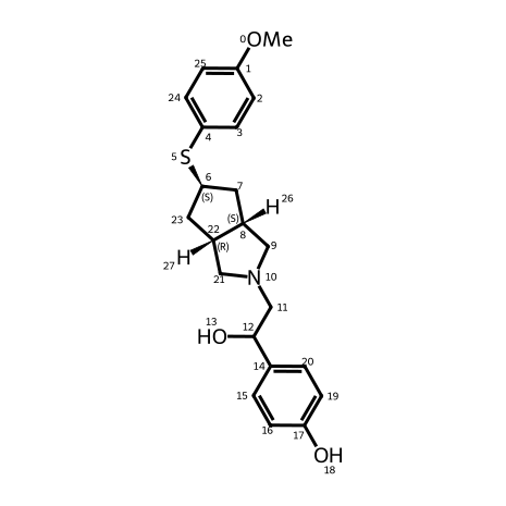 COc1ccc(S[C@H]2C[C@@H]3CN(CC(O)c4ccc(O)cc4)C[C@@H]3C2)cc1